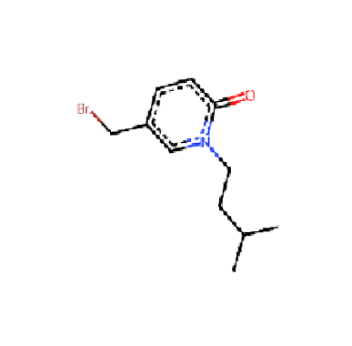 CC(C)CCn1cc(CBr)ccc1=O